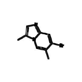 Cc1cn2c(C)cnc2cc1Br